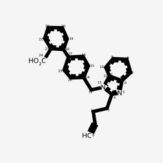 C#CCCc1nc2ccccc2n1Cc1ccc(-c2ccccc2C(=O)O)cc1